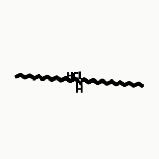 CCCCCCCCCCCCCCNCCCCCCCCCCCCCC.Cl